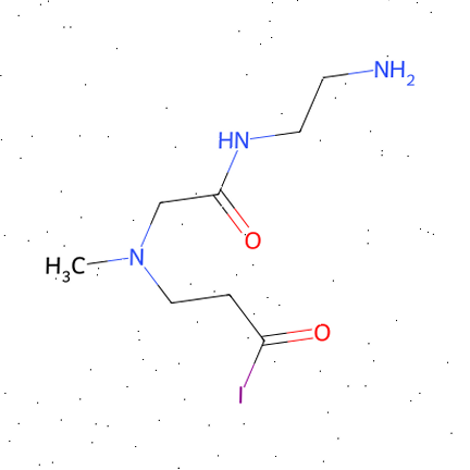 CN(CCC(=O)I)CC(=O)NCCN